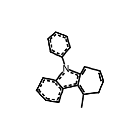 CC1=c2c(n(-c3ccccc3)c3ccccc23)=CC=CC1